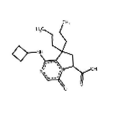 CCCC1(CCC)CC(C(=O)O)n2c1c(NC1CCC1)ncc2=O